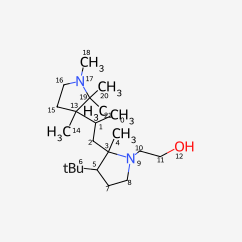 CC(CC1(C)C(C(C)(C)C)CCN1CCO)C1(C)CCN(C)C1(C)C